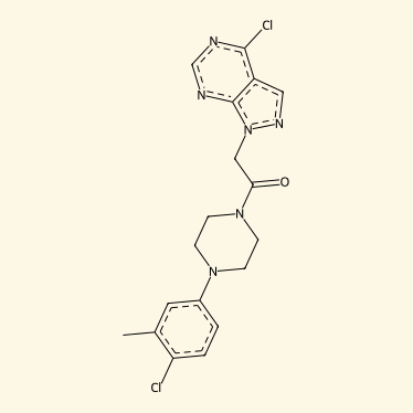 Cc1cc(N2CCN(C(=O)Cn3ncc4c(Cl)ncnc43)CC2)ccc1Cl